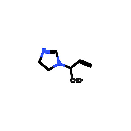 C=CC([C]=O)N1C=NCC1